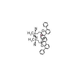 CC(C#N)(CCC(=O)Oc1c(-c2ccccc2)cccc1-c1ccccc1)N=NC(C)(C#N)CCC(=O)Oc1c(-c2ccccc2)cccc1-c1ccccc1